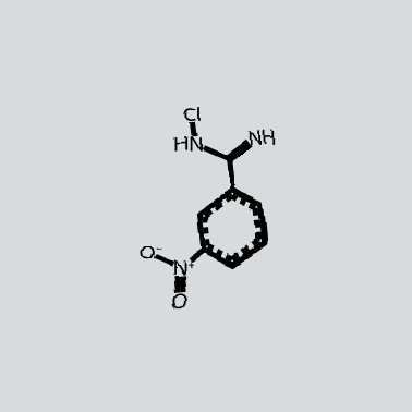 N=C(NCl)c1cccc([N+](=O)[O-])c1